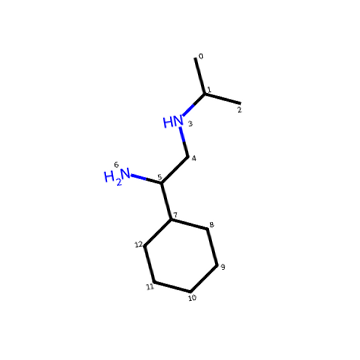 CC(C)NCC(N)C1CCCCC1